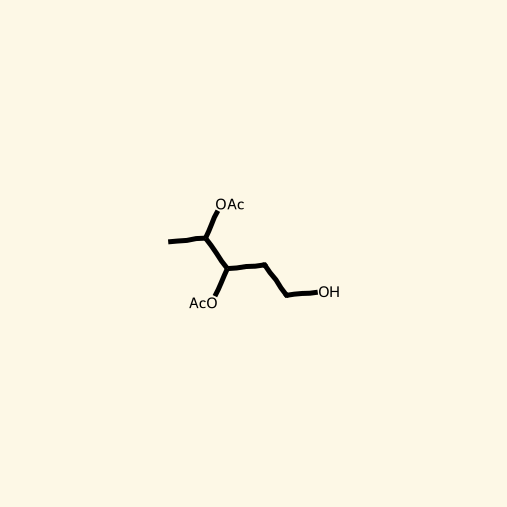 CC(=O)OC(C)C(CCO)OC(C)=O